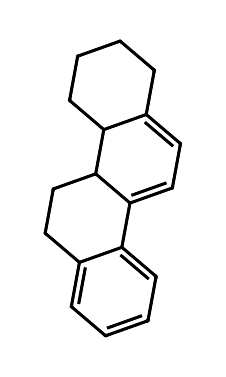 C1=C2CCCCC2C2CCc3ccccc3C2=C1